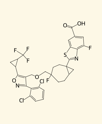 O=C(O)c1cc(F)c2nc(C34CCC(F)(COCc5c(-c6c(Cl)cccc6Cl)noc5C5CC5C(F)(F)F)CCC3C4)sc2c1